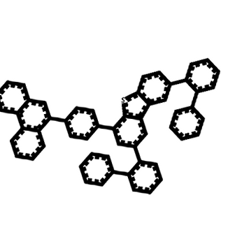 c1ccc(-c2ccccc2-c2ccc3sc4c(-c5ccc(-c6cc7ccccc7c7ccccc67)cc5)cc(-c5ccccc5-c5ccccc5)cc4c3c2)cc1